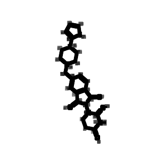 O=C1CCN(N2C(=O)c3ccc(CN4CCN(c5cccs5)CC4)cc3C2=O)C(=O)N1